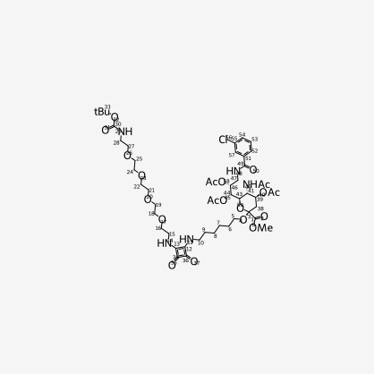 COC(=O)[C@@]1(OCCCCCCNc2c(NCCOCCOCCOCCOCCNC(=O)OC(C)(C)C)c(=O)c2=O)C[C@H](OC(C)=O)[C@@H](NC(C)=O)[C@H]([C@H](OC(C)=O)[C@@H](CNC(=O)c2cccc(Cl)c2)OC(C)=O)O1